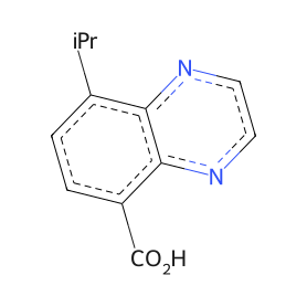 CC(C)c1ccc(C(=O)O)c2nccnc12